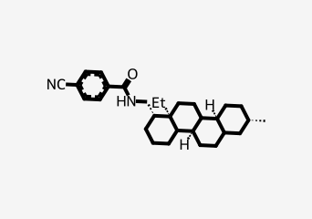 CC[C@]12CCC3[C@@H](CCC4C[C@@H](C)CC[C@@H]43)C1CCC[C@@H]2CNC(=O)c1ccc(C#N)cc1